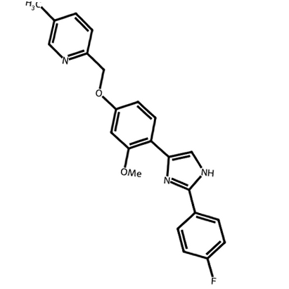 COc1cc(OCc2ccc(C)cn2)ccc1-c1c[nH]c(-c2ccc(F)cc2)n1